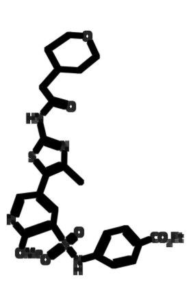 CCOC(=O)c1ccc(NS(=O)(=O)c2cc(-c3sc(NC(=O)CC4CCOCC4)nc3C)cnc2OC)cc1